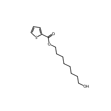 O=C(OCCCCCCCCO)c1cccs1